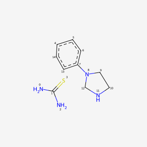 NC(N)=S.c1ccc(N2CCNC2)cc1